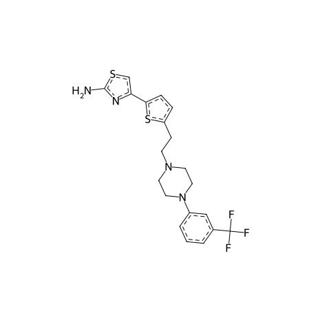 Nc1nc(-c2ccc(CCN3CCN(c4cccc(C(F)(F)F)c4)CC3)s2)cs1